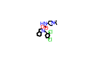 CC(C)N1CCC(NC(=O)Oc2cc3ccccc3n2Cc2ccc(Cl)cc2Cl)CC1